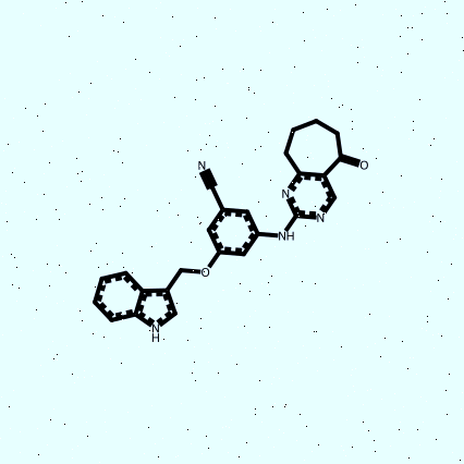 N#Cc1cc(Nc2ncc3c(n2)CCCCC3=O)cc(OCc2c[nH]c3ccccc23)c1